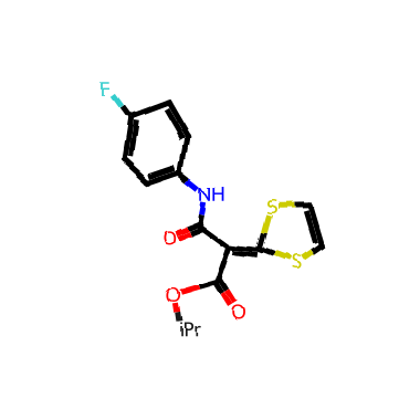 CC(C)OC(=O)C(C(=O)Nc1ccc(F)cc1)=C1SC=CS1